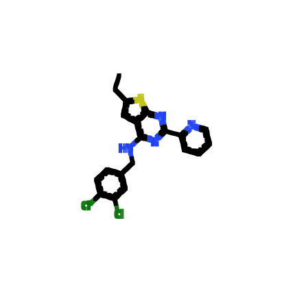 CCc1cc2c(NCc3ccc(Cl)c(Cl)c3)nc(-c3ccccn3)nc2s1